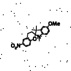 COc1ccc2c(c1)C(C)(C)C1(CCc3cc([N+](=O)[O-])ccc3O1)N2C